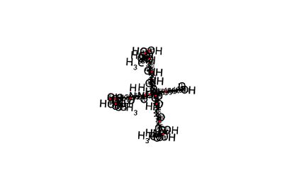 CC(=O)NC1C(O)[C@H](O)C(CO)O[C@H]1OCCCCC(=O)CCCCNC(=O)CCOCC(COCCC(=O)NCCCNC(=O)CCCCO[C@@H]1OC(CO)[C@@H](O)C(O)C1NC(C)=O)(COCCC(=O)NCCCNC(=O)CCCCO[C@@H]1OC(CO)[C@@H](O)C(O)C1NC(C)=O)NC(=O)CCCCCCCCCCC(=O)O